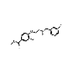 COC(=O)c1ccc(OCCNCc2cccc(F)c2)c(F)c1